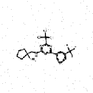 NC1(CNc2nc(-c3cccc(C(F)(F)F)c3)nc(C(Cl)(Cl)Cl)n2)CCCC1